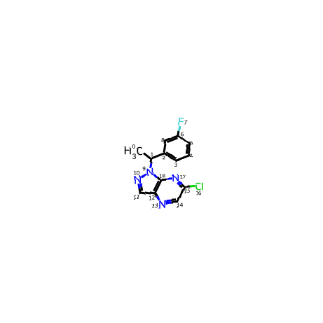 CC(c1cccc(F)c1)n1ncc2ncc(Cl)nc21